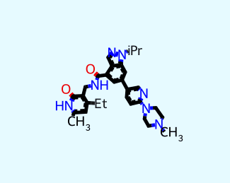 CCc1cc(C)[nH]c(=O)c1CNC(=O)c1cc(-c2ccc(N3CCN(C)CC3)nc2)cc2c1cnn2C(C)C